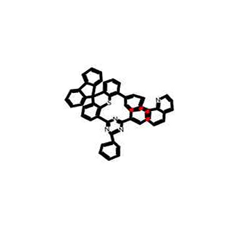 c1ccc(-c2nc(-c3ccccc3)nc(-c3cccc4c3Sc3c(-c5ccc(-c6cccc7cccnc67)cc5)cccc3C43c4ccccc4-c4ccccc43)n2)cc1